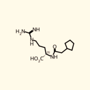 N=C(N)NCCC[C@H](NC(=O)CC1CCCC1)C(=O)O